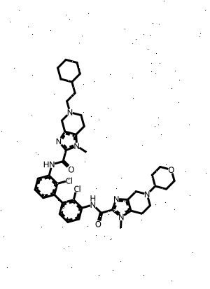 Cn1c(C(=O)Nc2cccc(-c3cccc(NC(=O)c4nc5c(n4C)CCN(C4CCOCC4)C5)c3Cl)c2Cl)nc2c1CCN(CCC1CCCCC1)C2